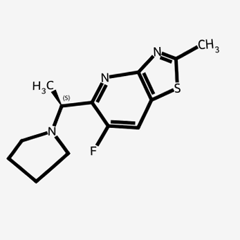 Cc1nc2nc([C@H](C)N3CCCC3)c(F)cc2s1